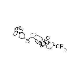 CCCCOc1ccc(C(=O)C2CCC(Cn3nnc4ccc(C(F)(F)F)cc4c3=O)C2C(=O)O)cc1